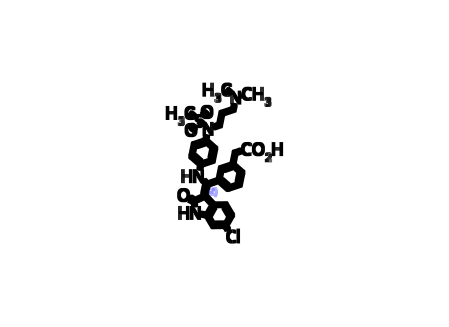 CN(C)CCCN(c1ccc(N/C(=C2\C(=O)Nc3cc(Cl)ccc32)c2cccc(CC(=O)O)c2)cc1)S(C)(=O)=O